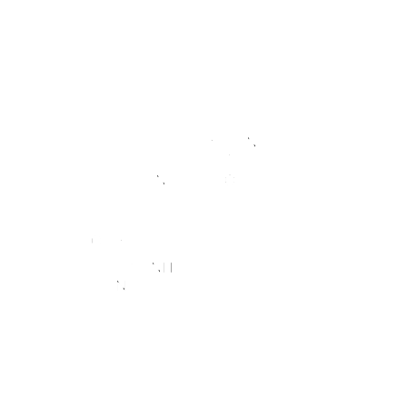 O=C(c1nc2ccccc2[nH]1)C1CCN(CCC2(Cc3ccccc3)CCN(Cc3ccccc3)C2=O)CC1